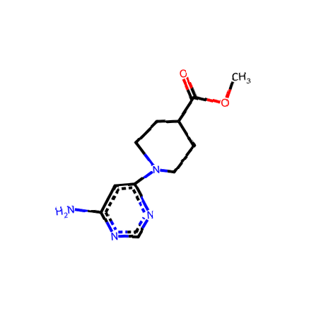 COC(=O)C1CCN(c2cc(N)ncn2)CC1